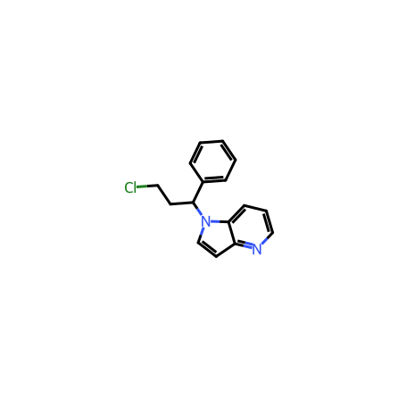 ClCCC(c1ccccc1)n1ccc2ncccc21